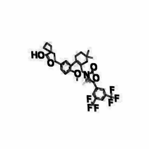 COc1ccc(CCC2(C(=O)O)CCC2)cc1C1=C(CN2C(=O)OC(c3cc(C(F)(F)F)cc(C(F)(F)F)c3)[C@@H]2C)CC(C)(C)CC1